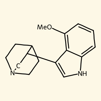 COc1cccc2[nH]cc(C3CN4CCC3CC4)c12